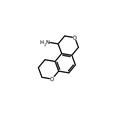 NC1COCc2ccc3c(c21)CCCO3